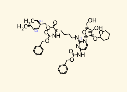 C=C/C=C\C(=C/C)COC(=O)[C@H](CCCC/N=c1\nc(NC(=O)OCc2ccccc2)ccn1[C@@H]1O[C@H](CO)[C@@H](O)[C@H]1OC1CCCCO1)NC(=O)OCc1ccccc1